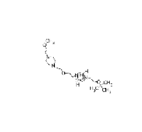 COCCN1CCN(CCOCCN2C[C@@H]3C[C@H]2CN3CCOC(C)(C)C)CC1